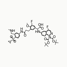 CNCc1cc(NC(=O)CCc2cc(C(Nc3ccc4c(N(C(=O)OC(C)(C)C)C(=O)OC(C)(C)C)ncc(F)c4c3)C(=O)O)cc(F)c2OC)ccc1S(=O)(=O)C1CC1